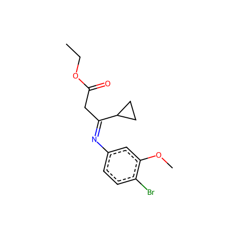 CCOC(=O)CC(=Nc1ccc(Br)c(OC)c1)C1CC1